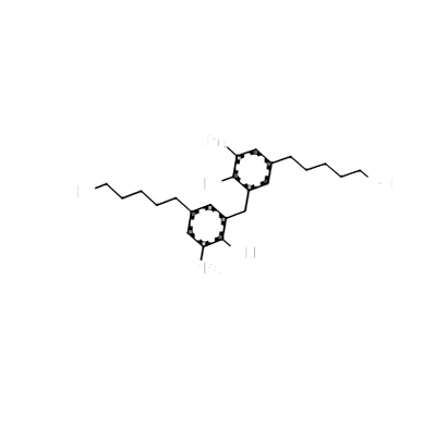 CC(C)(C)c1cc(CCCCCO)cc(Cc2cc(CCCCCO)cc(C(C)(C)C)c2O)c1O